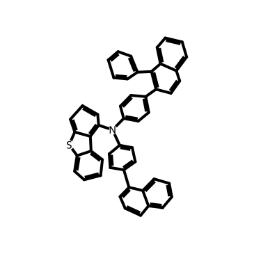 c1ccc(-c2c(-c3ccc(N(c4ccc(-c5cccc6ccccc56)cc4)c4cccc5sc6ccccc6c45)cc3)ccc3ccccc23)cc1